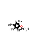 CCCCCCc1cc(OC(=O)O)c(CCC)c(CCC)c1CCC